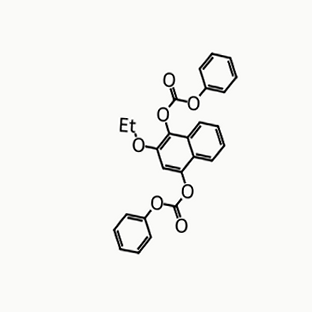 CCOc1cc(OC(=O)Oc2ccccc2)c2ccccc2c1OC(=O)Oc1ccccc1